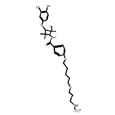 CC1(C)C(NC(=O)c2ccc(OCCCCCOCCCNC(=O)O)cc2)C(C)(C)C1Oc1ccc(C#N)c(Cl)c1